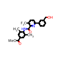 COC(=O)c1cc(C)c(NC(=O)c2nc(-c3cccc(CO)c3)ccc2C(F)(F)F)c(C)c1